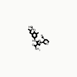 CC1=Cc2cc(Nc3nn(C4COCC[C@@H]4C#N)cc3C(N)=O)cc(C)c2OB1O